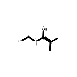 CC(C)=C(O)NCC(C)C